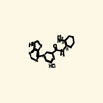 Cl.N[C@H]1CCCC[C@H]1NC(=O)C1=CN(c2ncnc3[nH]cnc23)CCS1